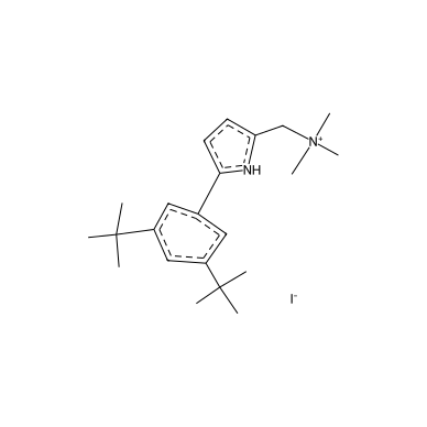 CC(C)(C)c1cc(-c2ccc(C[N+](C)(C)C)[nH]2)cc(C(C)(C)C)c1.[I-]